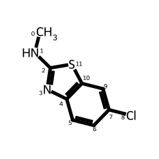 CNc1nc2ccc(Cl)cc2s1